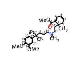 COC(=O)C1=CC=CCC1(C)CCN(C)CCCC(C#N)(c1ccc(OC)c(OC)c1)C(C)C